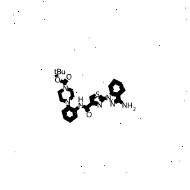 CC(C)(C)OC(=O)N1CCN(c2ccccc2NC(=O)c2csc(-n3nc(N)c4ccccc43)n2)CC1